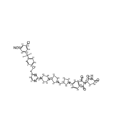 CC(C)(c1ccc(OCc2ccnc(N3CCN(C4CCN(CC5CCN(c6ccc7c(c6)C(=O)N(C6CCC(=O)NC6=O)C7=O)C5)C4)CC3)n2)cc1)c1cc(Cl)cc(C#N)c1